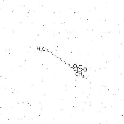 CCCCCCCCCCCCCCCC1(C)CC(=O)OC1=O